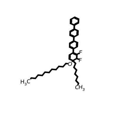 CCCCCCCCCCCCOC1(CCCCCCCC)C=CC(c2ccc(-c3ccc(-c4ccccc4)cc3)cc2)=C(F)C1F